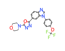 FC(F)(F)Oc1ccc(-n2cnc3ccc(-c4nnc(N5CCOCC5)o4)cc32)cc1